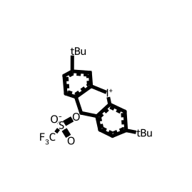 CC(C)(C)c1ccc2c(c1)[I+]c1cc(C(C)(C)C)ccc1C2.O=S(=O)([O-])C(F)(F)F